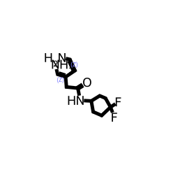 N/C=C\C(=C/N)CC(=O)NC1CCC(F)(F)CC1